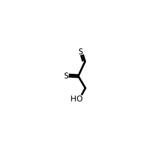 OCC(=S)C=S